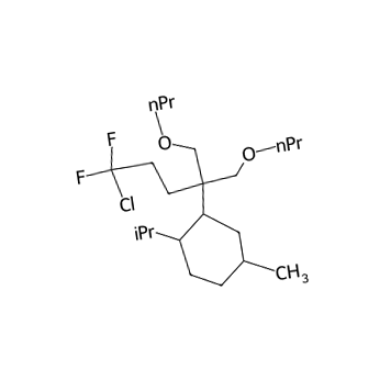 CCCOCC(CCC(F)(F)Cl)(COCCC)C1CC(C)CCC1C(C)C